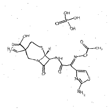 C=CC1(C(=O)O)CS[C@@H]2C(NC(=O)C(=NOC(C)=O)c3csc(N)n3)C(=O)N2C1.O=P(O)(O)O